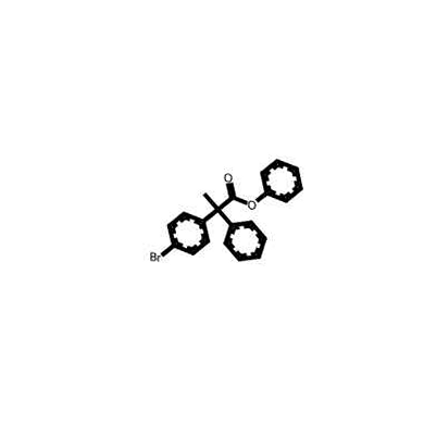 CC(C(=O)Oc1ccccc1)(c1ccccc1)c1ccc(Br)cc1